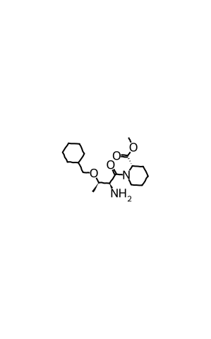 COC(=O)[C@@H]1CCCCN1C(=O)[C@@H](N)[C@@H](C)OCC1CCCCC1